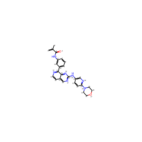 C=C(C)C(=O)Nc1cccc(-c2nccc3cnc(Nc4ccc(N5CCOCC5)nc4)nc23)c1